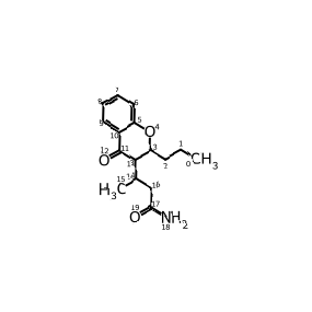 CCCC1Oc2ccccc2C(=O)C1C(C)CC(N)=O